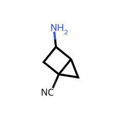 N#CC12CC(N)C1C2